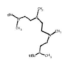 CN(CCN(C)CCN(C)C(C)(C)C)CCN(C)C(C)(C)C